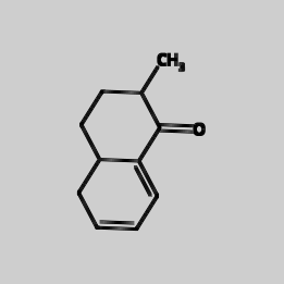 CC1CCC2CC=CC=C2C1=O